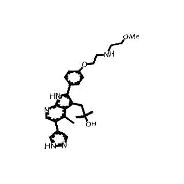 COCCNCCOc1ccc(-c2[nH]c3ncc(-c4cn[nH]c4)c(C)c3c2CC(C)(C)O)cc1